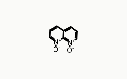 [O-][n+]1cccc2ccc[n+]([O-])c21